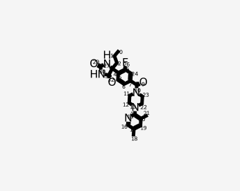 CCCC1(c2ccc(C(=O)N3CCN(c4ncc(C)cc4C)CC3)cc2F)NC(=O)NC1=O